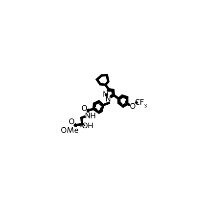 COC(=O)[C@H](O)CNC(=O)c1ccc(Cn2nc(C3CCCCC3)cc2-c2ccc(OC(F)(F)F)cc2)cc1